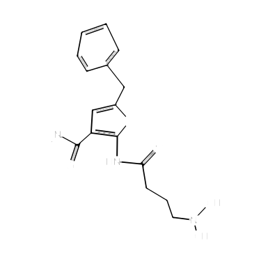 CN(C)CCCC(=O)Nc1sc(Cc2ccccc2)cc1C(N)=O